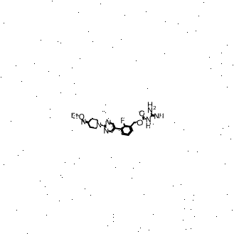 CCON=C1CCN(c2ncc(-c3cccc(COC(=O)NC(=N)N)c3F)cn2)CC1